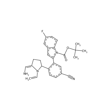 C=CN1/C(=C\N)CCC1c1ccc(C#N)cc1-c1cc2cc(F)ccc2n1C(=O)OC(C)(C)C